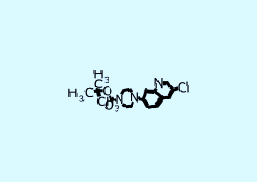 CC(C)(C)OC(=O)N1CCN(c2ccc3cc(Cl)cnc3c2)CC1